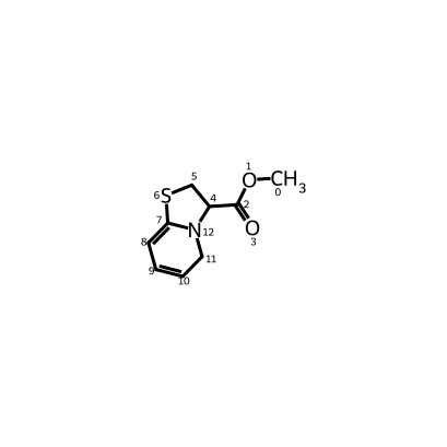 COC(=O)C1CSC2=CC=CCN21